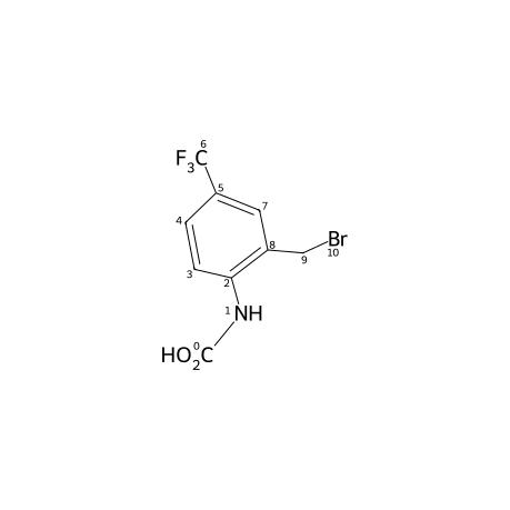 O=C(O)Nc1ccc(C(F)(F)F)cc1CBr